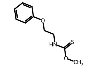 COC(=S)NCCOc1ccccc1